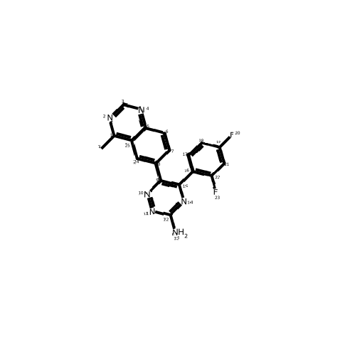 Cc1ncnc2ccc(-c3nnc(N)nc3-c3ccc(F)cc3F)cc12